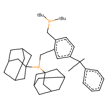 CC(C)(c1ccccc1)c1ccc(CP(C(C)(C)C)C(C)(C)C)c(CP(C23CC4CC(CC(C4)C2)C3)C23CC4CC(CC(C4)C2)C3)c1